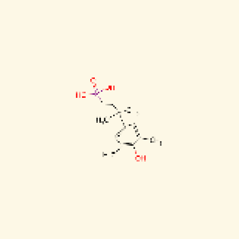 Cc1cc(C(C)(C)CCP(=O)(O)O)cc(C)c1O